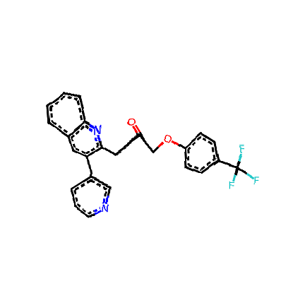 O=C(COc1ccc(C(F)(F)F)cc1)Cc1nc2ccccc2cc1-c1cccnc1